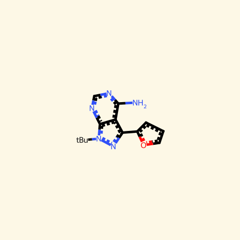 CC(C)(C)n1nc(-c2ccco2)c2c(N)ncnc21